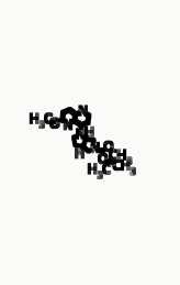 COc1ccc2nccc(N3CC[C@@H]4CN(C(=O)OC(C)(C)C)C[C@@H]43)c2n1